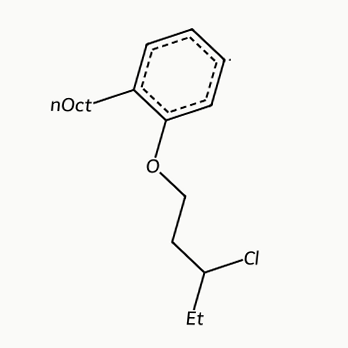 CCCCCCCCc1cc[c]cc1OCCC(Cl)CC